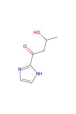 CC(O)[CH]C(=O)c1ncc[nH]1